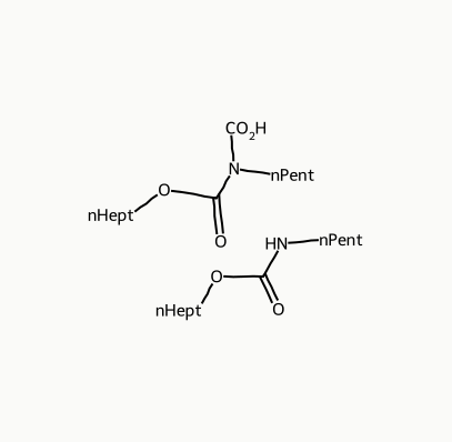 CCCCCCCOC(=O)N(CCCCC)C(=O)O.CCCCCCCOC(=O)NCCCCC